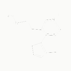 CCCC[NH][Ti][CH2]c1ccccc1C1=C(C)C=CC1.Cl.Cl